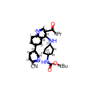 CC(C)C(=O)c1cnc2ccc(-c3ccc(C#N)nc3)cc2c1NC1CCC(NC(=O)OC(C)(C)C)CC1